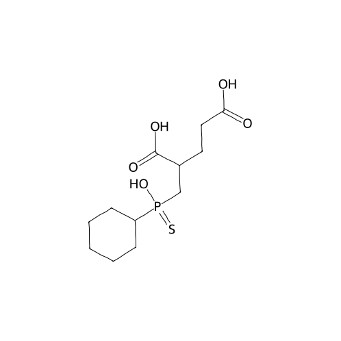 O=C(O)CCC(CP(O)(=S)C1CCCCC1)C(=O)O